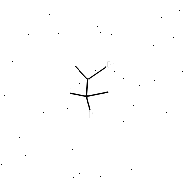 CC(Br)C(C)(C)Br